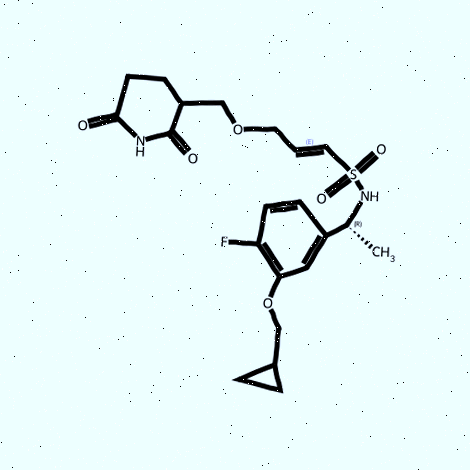 C[C@@H](NS(=O)(=O)/C=C/COCC1CCC(=O)NC1=O)c1ccc(F)c(OCC2CC2)c1